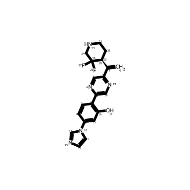 C=C(c1cnc(-c2ccc(-n3ccnc3)cc2O)cn1)[C@@H]1CCNCC1(F)F